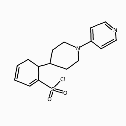 O=S(=O)(Cl)C1=CC=CCC1C1CCN(c2ccncc2)CC1